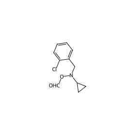 O=CON(Cc1ccccc1Cl)C1CC1